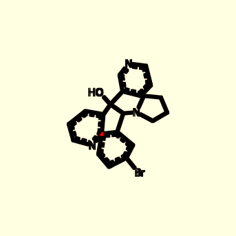 OC(c1cccnc1)(c1cccnc1)C(c1cccc(Br)c1)N1CCCC1